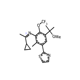 COC(C)(C)c1cc(-c2nccs2)c(C)c(/N=C(/C)C2CC2)c1OC(F)(F)F